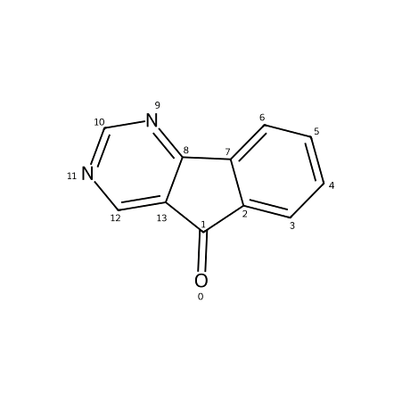 O=C1c2ccccc2-c2ncncc21